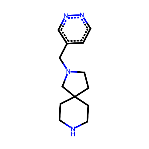 c1cc(CN2CCC3(CCNCC3)C2)cnn1